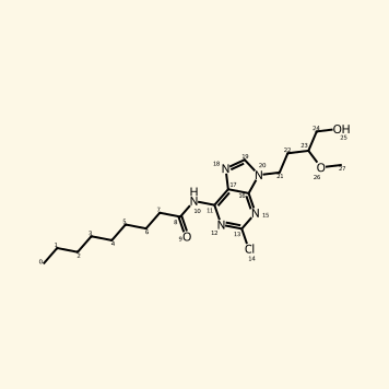 CCCCCCCCC(=O)Nc1nc(Cl)nc2c1ncn2CCC(CO)OC